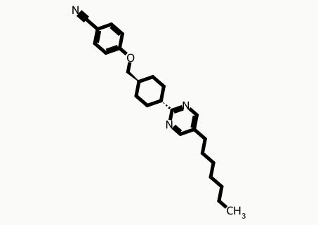 CCCCCCCc1cnc([C@H]2CC[C@H](COc3ccc(C#N)cc3)CC2)nc1